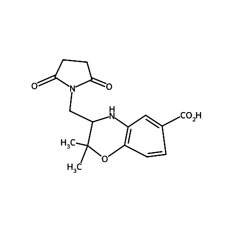 CC1(C)Oc2ccc(C(=O)O)cc2NC1CN1C(=O)CCC1=O